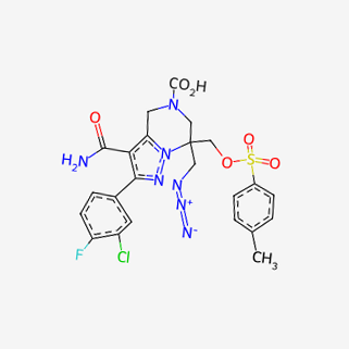 Cc1ccc(S(=O)(=O)OCC2(CN=[N+]=[N-])CN(C(=O)O)Cc3c(C(N)=O)c(-c4ccc(F)c(Cl)c4)nn32)cc1